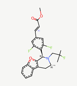 COC(=O)/C=C/c1cc(F)c([C@@H]2c3oc4ccccc4c3C[C@@H](C)N2CC(C)(C)F)c(F)c1